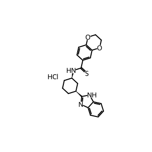 Cl.S=C(N[C@@H]1CCC[C@H](c2nc3ccccc3[nH]2)C1)c1ccc2c(c1)OCCO2